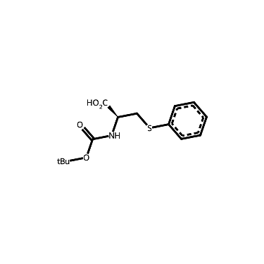 CC(C)(C)OC(=O)N[C@H](CSc1ccccc1)C(=O)O